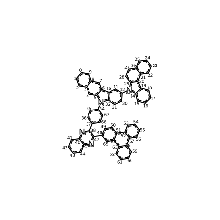 c1ccc2cc3c(cc2c1)c1cc(-n2c4ccccc4c4c5ccccc5ccc42)ccc1n3-c1ccc(-c2nc3ccccc3nc2-c2ccc3c4ccccc4c4ccccc4c3c2)cc1